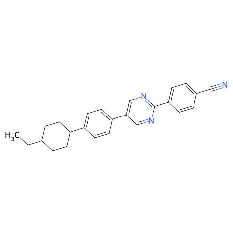 CCC1CCC(c2ccc(-c3cnc(-c4ccc(C#N)cc4)nc3)cc2)CC1